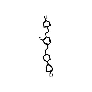 CCc1ccc(C2CCC(CCc3ccc(CCc4ccc(Cl)cc4)c(F)c3)CC2)cc1